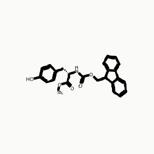 CC(C)(C)OC(=O)[C@H](Cc1ccc(O)cc1)NC(=O)OCC1c2ccccc2-c2ccccc21